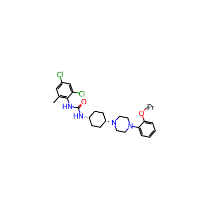 Cc1cc(Cl)cc(Cl)c1NC(=O)N[C@H]1CC[C@@H](N2CCN(c3ccccc3OC(C)C)CC2)CC1